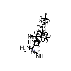 CC1(C)O[C@H]2[C@@H](O1)[C@](C#N)(c1ccc(/C(N)=N\C=N)[nH]1)O[C@@H]2CO[Si](C)(C)C(C)(C)C